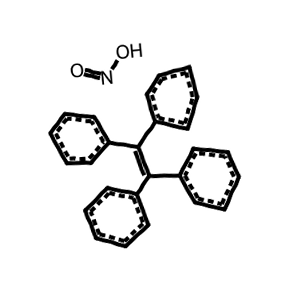 O=NO.c1ccc(C(=C(c2ccccc2)c2ccccc2)c2ccccc2)cc1